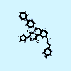 [NH]C(=O)C1c2cc(OCCc3ccc(F)cc3)ccc2C[C@@H](c2ccc(-c3ccccc3)cc2)N1C(=O)CC1CCCC1